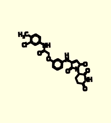 Cc1ccc(NC(=O)COc2cccc(NC3=CC(=O)N([C@@H]4CCC(=O)NC4=O)C3=O)c2)cc1Cl